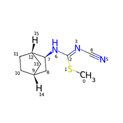 CS/C(=N\C#N)N[C@H]1C[C@@H]2CC[C@H]1C2